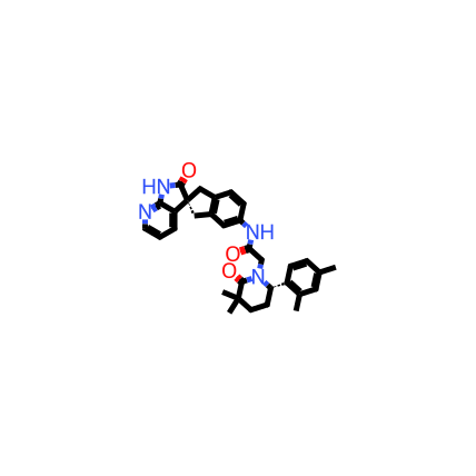 Cc1ccc([C@@H]2CCC(C)(C)C(=O)N2CC(=O)Nc2ccc3c(c2)C[C@@]2(C3)C(=O)Nc3ncccc32)c(C)c1